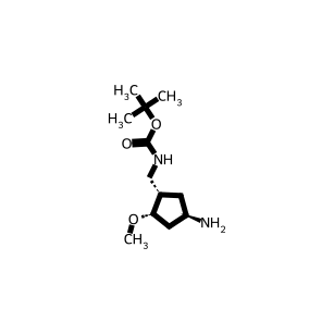 CO[C@H]1C[C@H](N)C[C@H]1CNC(=O)OC(C)(C)C